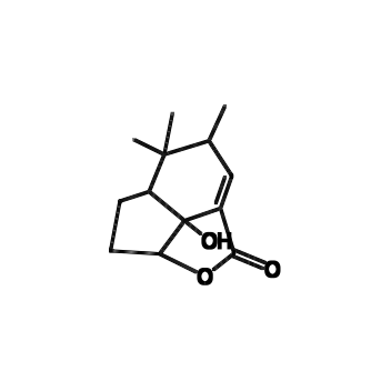 CC1C=C2C(=O)OC3CCC(C1(C)C)C23O